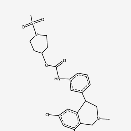 CN1Cc2c(Cl)cc(Cl)cc2C(c2cccc(NC(=O)OC3CCN(S(C)(=O)=O)CC3)c2)C1